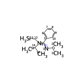 CC(C)/N=C(\c1ccccc1)N(C[SiH3])C(C)C